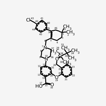 CC1(C)CCC(CN2CCN(c3ccc(C(=O)O)c(Oc4ccccc4CO[Si](C)(C)C(C)(C)C)c3)CC2)=C(c2ccc(Cl)cc2)C1